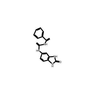 C=C(NC(=C)c1ccccc1)Nc1ccc2[nH]c(=O)[nH]c2c1